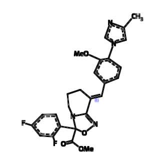 COC(=O)C1(c2ccc(F)cc2F)ON=C2/C(=C/c3ccc(-n4cnc(C)c4)c(OC)c3)CCCN21